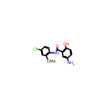 COc1cc(Cl)ccc1NC(=O)c1cc(N)ccc1O